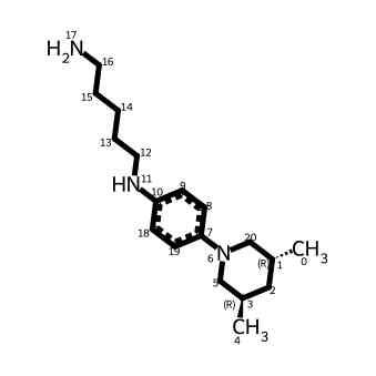 C[C@@H]1C[C@@H](C)CN(c2ccc(NCCCCCN)cc2)C1